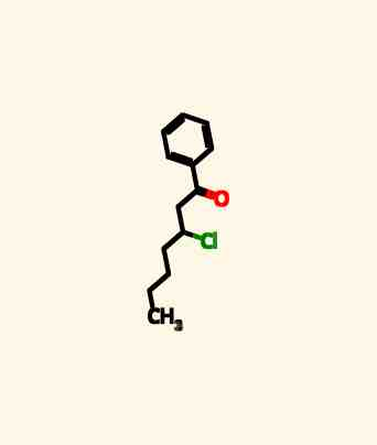 CCCCC(Cl)CC(=O)c1ccccc1